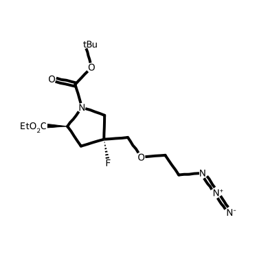 CCOC(=O)[C@@H]1C[C@](F)(COCCN=[N+]=[N-])CN1C(=O)OC(C)(C)C